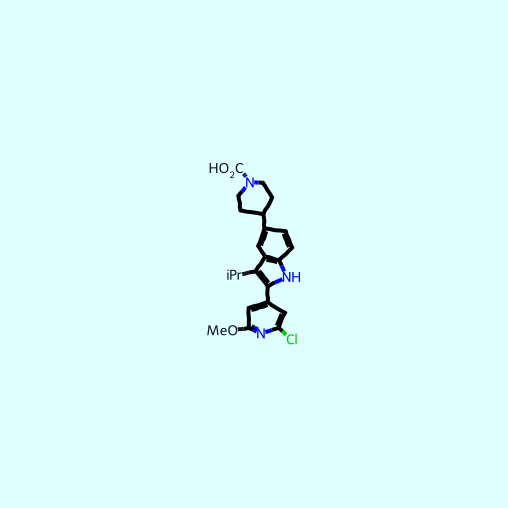 COc1cc(-c2[nH]c3ccc(C4CCN(C(=O)O)CC4)cc3c2C(C)C)cc(Cl)n1